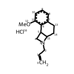 C=CCN1CC2c3c(cccc3OC)CCC21.Cl